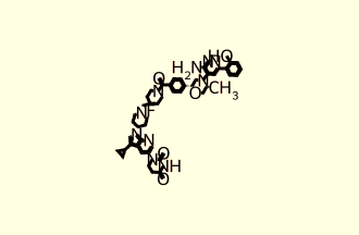 C[C@@H]1CO[C@H](c2ccc(C(=O)N3CCC(F)(CN4CCC(n5cc(C6CC6)c6cc(N7CCC(=O)NC7=O)cnc65)CC4)CC3)cc2)CN1c1cc(-c2ccccc2O)nnc1N